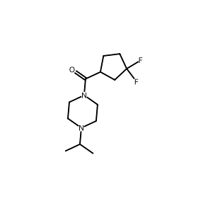 CC(C)N1CCN(C(=O)C2CCC(F)(F)C2)CC1